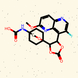 COc1ccc2ncc(F)c(C3OC(=O)OC3C34CCC(NC(=O)O)(CC3)CO4)c2n1